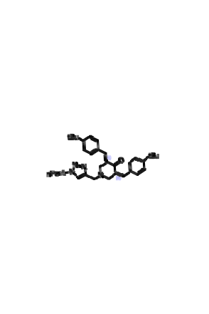 CCCCCn1cc(CN2C/C(=C/c3ccc(C(C)(C)C)cc3)C(=O)/C(=C/c3ccc(C(C)(C)C)cc3)C2)nn1